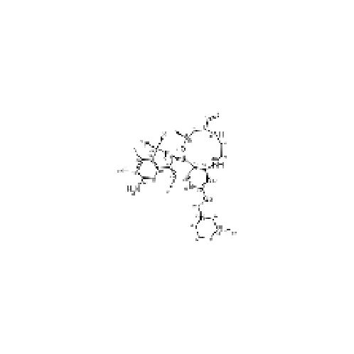 C=CC1C[C@H](C)Oc2nc(-c3cc(N)c(F)c(C)c3C(F)(F)F)c(F)c3nc(OCN4CCC[C@@H](F)C4)nc(c23)NCCN1